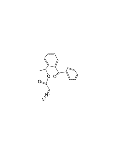 CC(OC(=O)C=[N+]=[N-])c1ccccc1C(=O)c1ccccc1